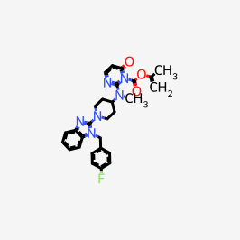 C=C(C)OC(=O)n1c(N(C)C2CCN(c3nc4ccccc4n3Cc3ccc(F)cc3)CC2)nccc1=O